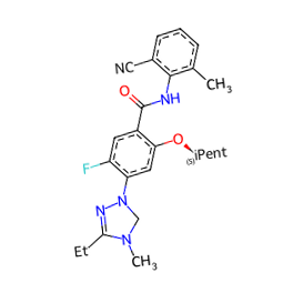 CCC[C@H](C)Oc1cc(N2CN(C)C(CC)=N2)c(F)cc1C(=O)Nc1c(C)cccc1C#N